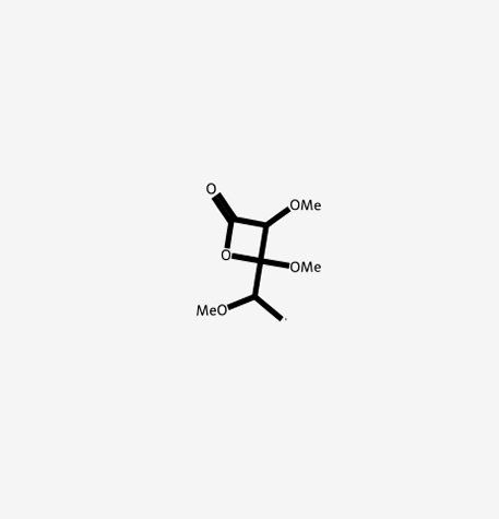 [CH2]C(OC)C1(OC)OC(=O)[C]1OC